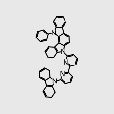 C1=Cc2c(n(-c3cccc(-c4cccc(-n5c6c(c7c5ccc5c8ccccc8n(-c8ccccc8)c57)C=CCC6)n4)n3)c3ccccc23)CC1